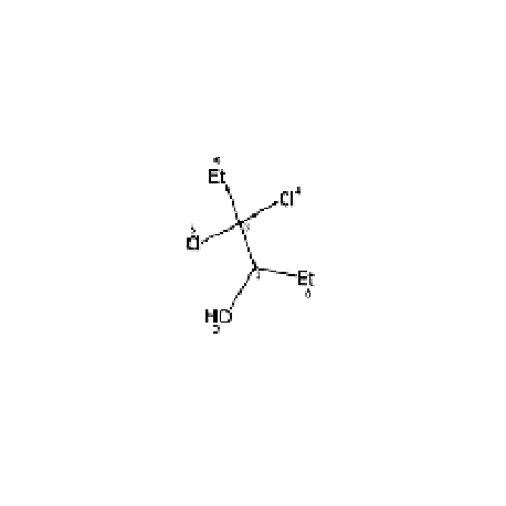 [CH2]CC(O)C(Cl)(Cl)CC